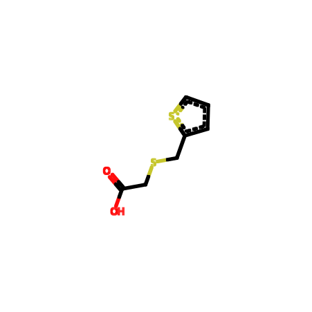 O=C(O)CSCc1cccs1